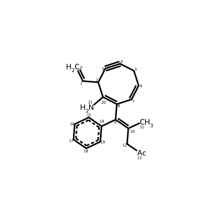 C=CC1C#CC\C=C/C(C(=C(\C)CC(C)=O)/c2ccccc2)=C\1N